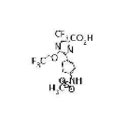 CS(=O)(=O)Nc1ccc(-c2nc(C(=O)O)c(C(F)(F)F)nc2OCC(F)(F)F)cc1